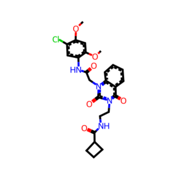 COc1cc(OC)c(NC(=O)Cn2c(=O)n(CCNC(=O)C3CCC3)c(=O)c3ccccc32)cc1Cl